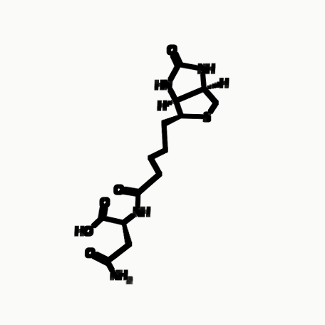 NC(=O)C[C@H](NC(=O)CCCC[C@@H]1SC[C@@H]2NC(=O)N[C@@H]21)C(=O)O